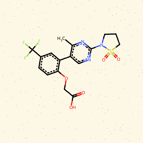 Cc1nc(N2CCCS2(=O)=O)ncc1-c1cc(C(F)(F)F)ccc1OCC(=O)O